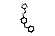 c1ccc(Oc2ccc(OCC3COCO3)cc2)cc1